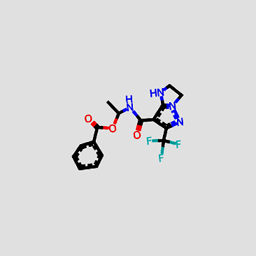 CC(NC(=O)c1c(C(F)(F)F)nn2c1NCC2)OC(=O)c1ccccc1